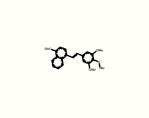 CCCCOc1c(OC)cc(/C=C/c2ccc(C=O)c3ccccc23)cc1OC